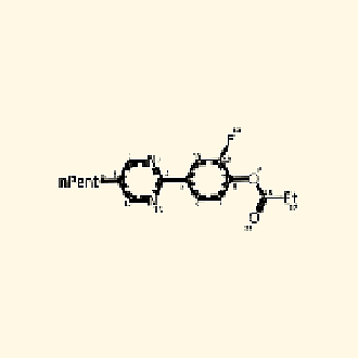 CCCCCc1cnc(-c2ccc(OC(=O)CC)c(F)c2)nc1